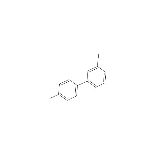 Ic1[c]cc(-c2cccc(I)c2)cc1